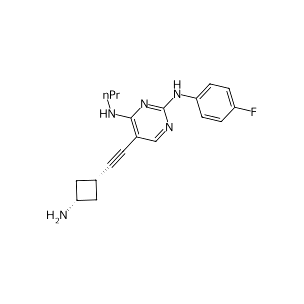 CCCNc1nc(Nc2ccc(F)cc2)ncc1C#C[C@H]1C[C@@H](N)C1